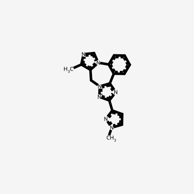 Cc1ncn2c1Cn1nc(-c3ccn(C)n3)nc1-c1ccccc1-2